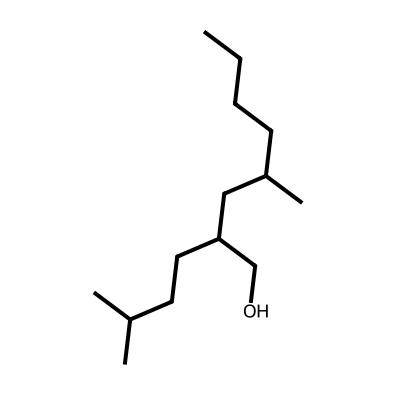 CCCCC(C)CC(CO)CCC(C)C